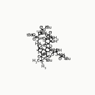 C=C(C)OC(=O)N[C@@H]1CC=C(CNCCN(C(=O)OC(C)(C)C)C2CN(C(=O)OC(C)(C)C)C2)O[C@@H]1C1[C@@H](NC(=O)OC(C)(C)C)C[C@@H](NC(=O)[C@@H](O)CNC(=O)OC(C)(C)C)[C@H](O[C@H]2OC[C@](C)(O)[C@H](N(C)C(=O)OC(C)(C)C)[C@H]2O)[C@H]1O